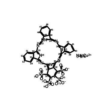 O=S(=O)([O-])c1c(S(=O)(=O)[O-])c(S(=O)(=O)[O-])c2c3nc4nc(nc5[nH]c(nc6nc(nc([nH]3)c2c1S(=O)(=O)[O-])-c1ccccc1-6)c1ccccc51)-c1ccccc1-4.[Cu+2].[Na+].[Na+]